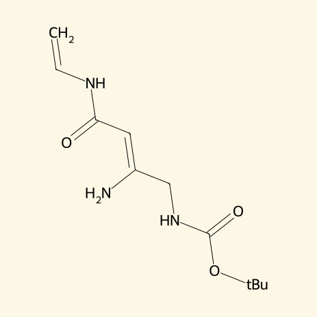 C=CNC(=O)/C=C(\N)CNC(=O)OC(C)(C)C